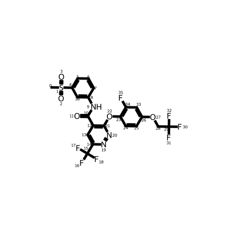 CS(=O)(=O)c1cccc(NC(=O)c2cc(C(F)(F)F)nnc2Oc2ccc(OCC(F)(F)F)cc2F)c1